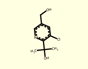 CC(C)(O)c1ncc(CO)cc1Cl